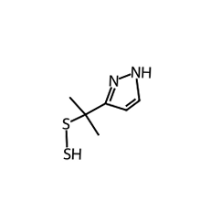 CC(C)(SS)c1cc[nH]n1